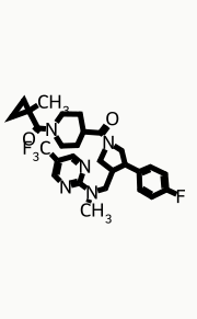 CN(CC1CN(C(=O)C2CCN(C(=O)C3(C)CC3)CC2)CC1c1ccc(F)cc1)c1ncc(C(F)(F)F)cn1